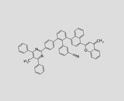 C=C1C=C(c2ccc(-c3cccc(-c4ccc(-c5nc(-c6ccccc6)c(C)c(-c6ccccc6)n5)cc4)c3-c3cccc(C#N)c3)c3ccccc23)Oc2ccccc21